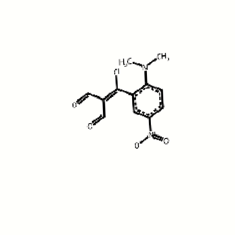 CN(C)c1ccc([N+](=O)[O-])cc1C(Cl)=C(C=O)C=O